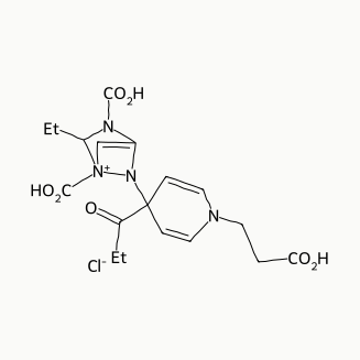 CCC(=O)C1(N2C3=C[N+]2(C(=O)O)C(CC)N3C(=O)O)C=CN(CCC(=O)O)C=C1.[Cl-]